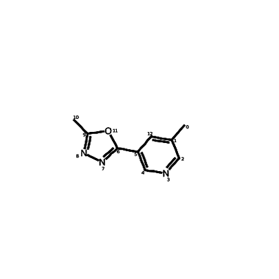 Cc1cncc(-c2nnc(C)o2)c1